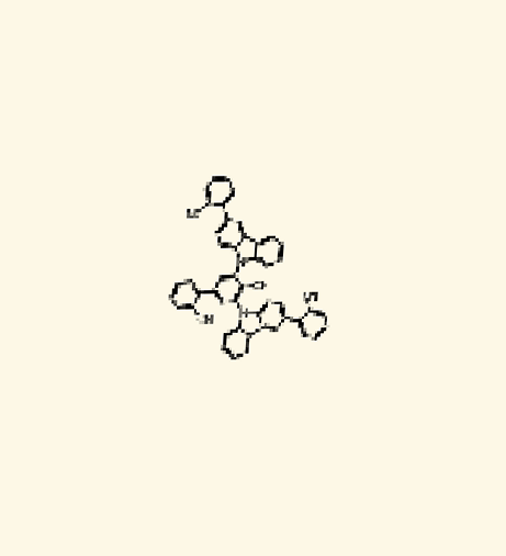 N#Cc1ccccc1-c1cc(-n2c3ccccc3c3cc(-c4ccccc4C#N)ccc32)c(C#N)c(-n2c3ccccc3c3cc(-c4ccccc4C#N)ccc32)c1